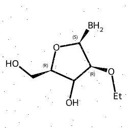 B[C@@H]1O[C@H](CO)C(O)[C@@H]1OCC